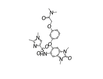 Cc1nc(S(=O)(=O)Nc2cc3c(cc2Oc2cccc(OCC(=O)N(C)C)c2)n(C)c(=O)n3C)cn1C